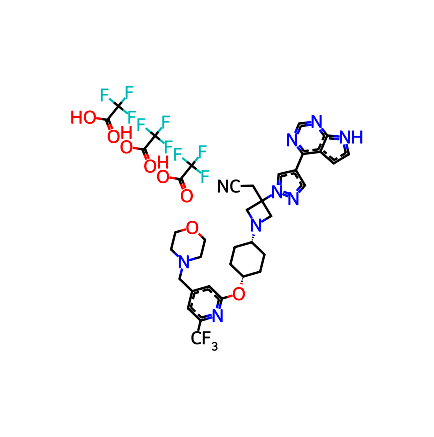 N#CCC1(n2cc(-c3ncnc4[nH]ccc34)cn2)CN([C@H]2CC[C@@H](Oc3cc(CN4CCOCC4)cc(C(F)(F)F)n3)CC2)C1.O=C(O)C(F)(F)F.O=C(O)C(F)(F)F.O=C(O)C(F)(F)F